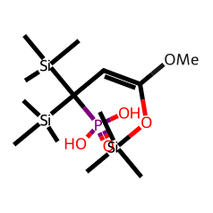 COC(=CC([Si](C)(C)C)([Si](C)(C)C)P(=O)(O)O)O[Si](C)(C)C